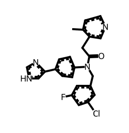 Cc1ccncc1CC(=O)N(Cc1cc(F)cc(Cl)c1)c1ccc(-c2c[nH]cn2)cc1